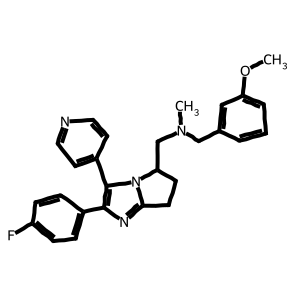 COc1cccc(CN(C)CC2CCc3nc(-c4ccc(F)cc4)c(-c4ccncc4)n32)c1